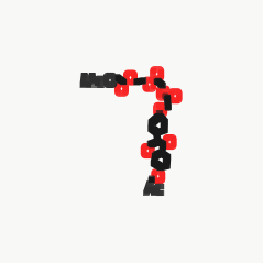 COCC(=O)OCCOC(=O)COC(=O)COc1ccc(-c2coc3cc(OCC(C)=O)ccc3c2=O)cc1